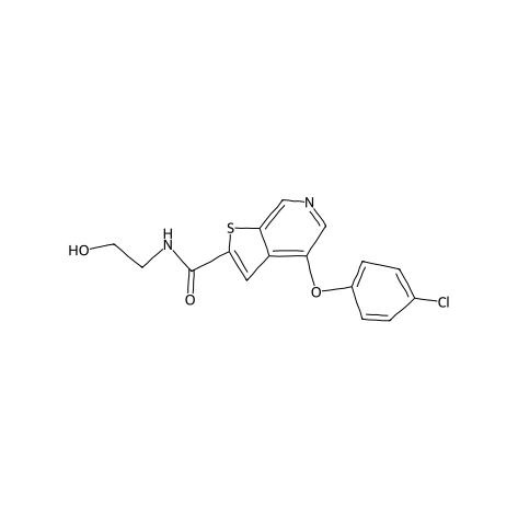 O=C(NCCO)c1cc2c(Oc3ccc(Cl)cc3)cncc2s1